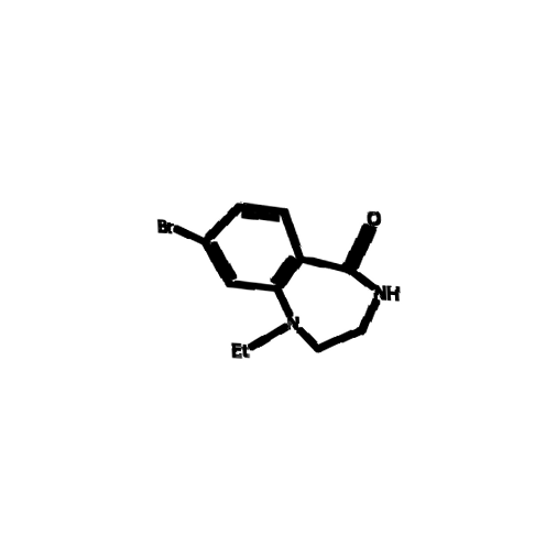 CCN1CCNC(=O)c2ccc(Br)cc21